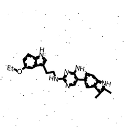 CCOc1ccc2[nH]cc(CCNc3ncc(-c4ccc5[nH]c(C)c(C)c5c4)c(N)n3)c2c1